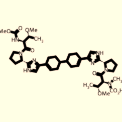 COC(=O)N[C@H](C(=O)N1CCC[C@H]1c1nc(C2=CCC(C3CC=C(c4c[nH]c([C@@H]5CCCN5C(=O)[C@H]([C@@H](C)OC)N(C)C(=O)O)n4)CC3)CC2)c[nH]1)[C@@H](C)OC